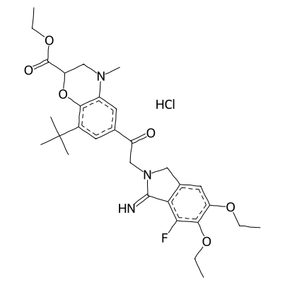 CCOC(=O)C1CN(C)c2cc(C(=O)CN3Cc4cc(OCC)c(OCC)c(F)c4C3=N)cc(C(C)(C)C)c2O1.Cl